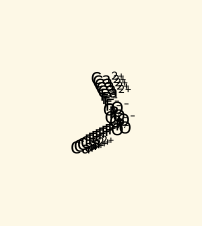 O=P([O-])([O-])[O-].O=P([O-])([O-])[O-].[Ca+2].[Ca+2].[Ca+2].[Ca+2].[Ca+2].[Ca+2].[Ca+2].[Ca+2].[Ca+2].[F-].[F-].[F-].[F-].[F-].[F-].[F-].[F-].[F-].[F-].[F-].[F-]